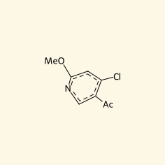 COc1cc(Cl)c(C(C)=O)cn1